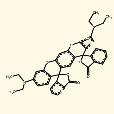 CCN(CC)c1ccc2c(c1)Oc1cc3c(cc1C21OC(=O)c2ccccc21)C1(OC(=O)c2ccccc21)c1ccc(N(CC)CC)cc1O3